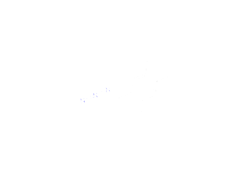 Cc1cc(C)c(CN=[N+]=[N-])cc1C